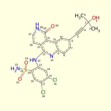 CC(C)(O)C#Cc1ccc2nc(Nc3cc(Cl)c(Cl)cc3S(N)(=O)=O)c3cc[nH]c(=O)c3c2c1